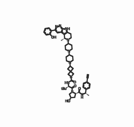 C#Cc1ccc([C@H](C)NC(=O)[C@@H]2C[C@@H](O)CN2C(=O)[C@@H](NC(=O)N2CC3(CC(N4CCC(N5CCC(N6CCc7[nH]c8nnc(-c9ccccc9O)cc8c7[C@H]6C)CC5)CC4)C3)C2)C(C)(C)C)cc1